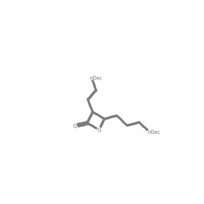 CCCCCCCCCCCCCC1OC(=O)C1CCCCCCCCCCCC